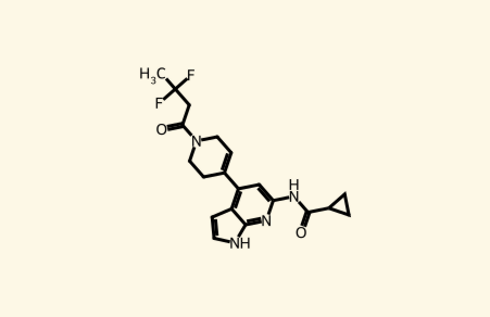 CC(F)(F)CC(=O)N1CC=C(c2cc(NC(=O)C3CC3)nc3[nH]ccc23)CC1